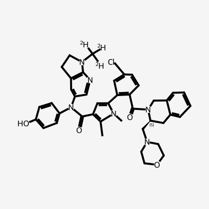 [2H]C([2H])([2H])N1CCc2cc(N(C(=O)c3cc(-c4cc(Cl)ccc4C(=O)N4Cc5ccccc5C[C@H]4CN4CCOCC4)n(C)c3C)c3ccc(O)cc3)cnc21